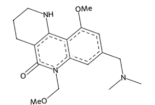 COCn1c(=O)c2c(c3c(OC)cc(CN(C)C)cc31)NCCC2